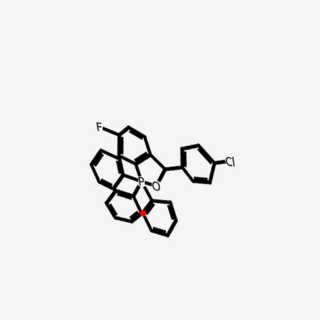 Fc1ccc2c(c1)P(c1ccccc1)(c1ccccc1)(c1ccccc1)OC2c1ccc(Cl)cc1